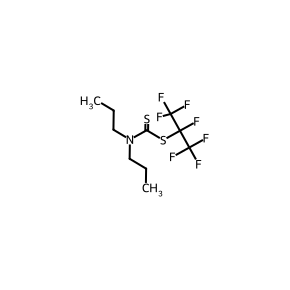 CCCN(CCC)C(=S)SC(F)(C(F)(F)F)C(F)(F)F